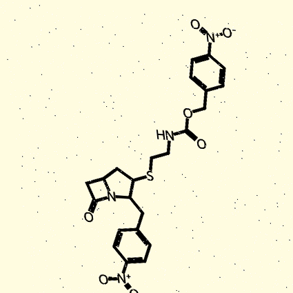 O=C(NCCSC1CC2CC(=O)N2C1Cc1ccc([N+](=O)[O-])cc1)OCc1ccc([N+](=O)[O-])cc1